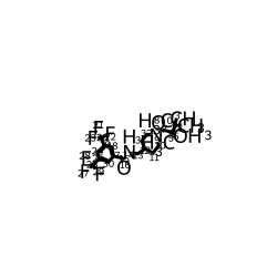 CC(C)(C)C(C)(O)C(=O)N1CCC(CNC(=O)c2cc(C(F)(F)F)cc(C(F)(F)F)c2)CC1